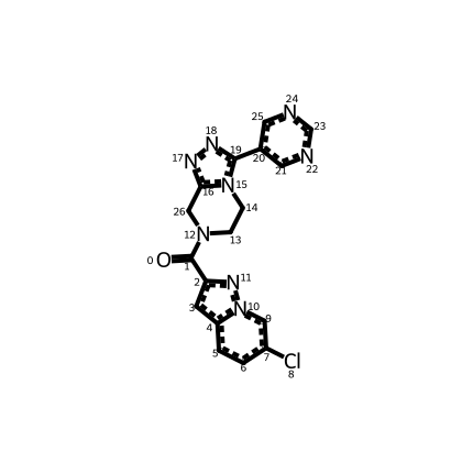 O=C(c1cc2ccc(Cl)cn2n1)N1CCn2c(nnc2-c2cncnc2)C1